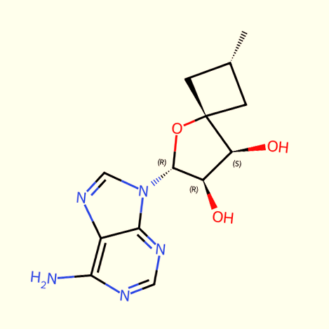 C[C@H]1C[C@]2(C1)O[C@@H](n1cnc3c(N)ncnc31)[C@H](O)[C@@H]2O